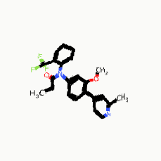 CCC(=O)N(c1ccc(-c2ccnc(C)c2)c(OC)c1)c1ccccc1C(F)(F)F